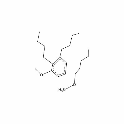 CCCCCO[SiH3].CCCCc1cccc(OC)c1CCCC